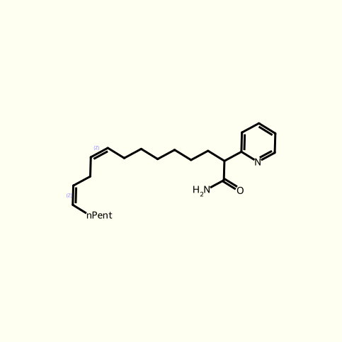 CCCCC/C=C\C/C=C\CCCCCCC(C(N)=O)c1ccccn1